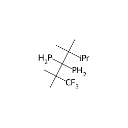 CC(C)C(C)(C)C(P)(P)C(C)(C)C(F)(F)F